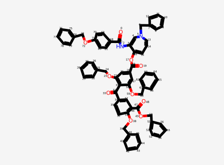 O=C(NC1=CN(Cc2ccccc2)C=CC=C1OC(=O)c1cc(OCc2ccccc2)c(C(=O)c2ccc(OCc3ccccc3)c(C(=O)OCc3ccccc3)c2)c(OCc2ccccc2)c1)c1ccc(OCc2ccccc2)cc1